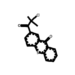 CC(C)(Cl)C(=O)c1ccc2sc3ccccc3c(=O)c2c1